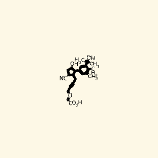 Cc1cc(C2C(CC#CCOCC(=O)O)[C@H](C#N)C[C@H]2O)cc(C(C)(C)O)c1C